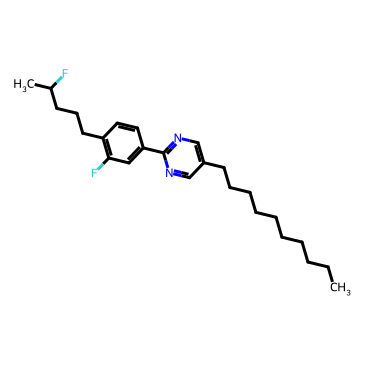 CCCCCCCCCCc1cnc(-c2ccc(CCCC(C)F)c(F)c2)nc1